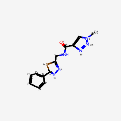 CCn1cc(C(=O)NCc2nnc(-c3ccccc3)s2)nn1